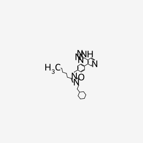 CCCCCc1cn(CCC2CCCCC2)c(=O)n1Cc1ccc(-c2cnccc2-c2nnn[nH]2)cc1